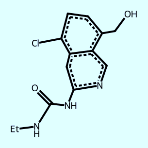 CCNC(=O)Nc1cc2c(Cl)ccc(CO)c2cn1